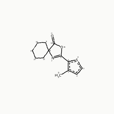 Cc1ccsc1C1=NC2(CCCCC2)C(=O)O1